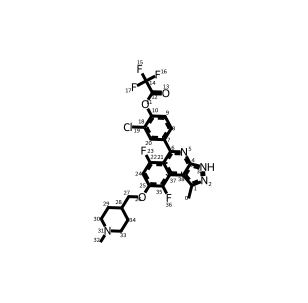 Cc1n[nH]c2nc(-c3ccc(OC(=O)C(F)(F)F)c(Cl)c3)c3c(F)cc(OCC4CCN(C)CC4)c(F)c3c12